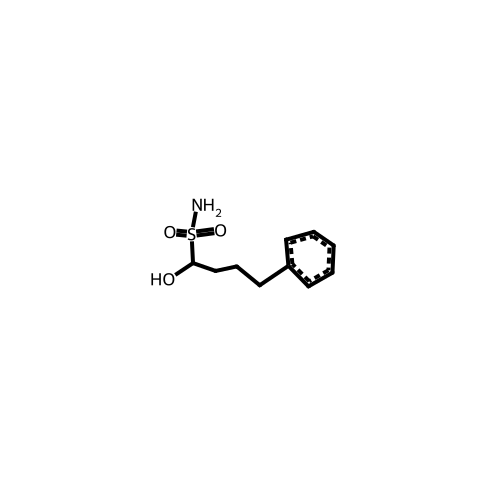 NS(=O)(=O)C(O)CCCc1ccccc1